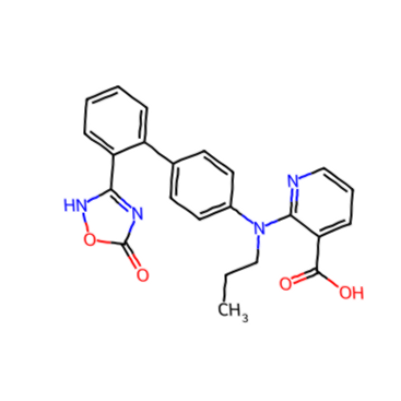 CCCN(c1ccc(-c2ccccc2-c2nc(=O)o[nH]2)cc1)c1ncccc1C(=O)O